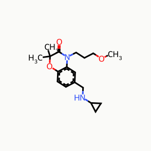 COCCCN1C(=O)C(C)(C)Oc2ccc(CNC3CC3)cc21